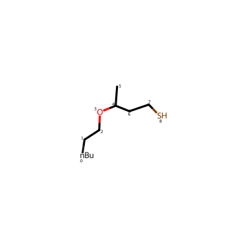 CCCCCCOC(C)CCS